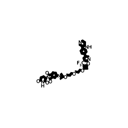 O=C1CCC(N2C(=O)c3ccc(N4CC(OCCCOCCCO[C@H]5C[C@H](Oc6ncc(-c7ccc8c(c7)[nH]c7ccncc78)cc6C(F)(F)F)C5)C4)cc3C2=O)C(=O)N1